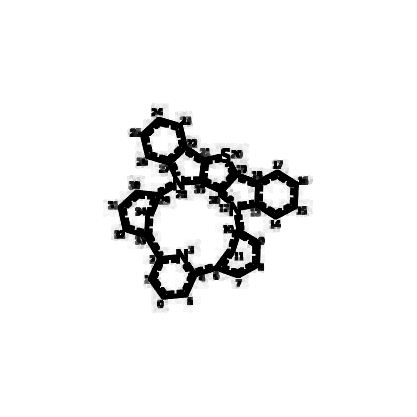 c1cc2nc(c1)c1cccc(c1)n1c3ccccc3c3sc4c5ccccc5n(c5cccc2c5)c4c31